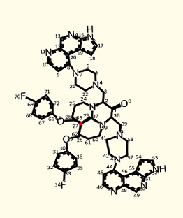 O=C(C(CN1CCN(c2ccnc3cnc4[nH]ccc4c23)CC1)N1CCCC(COc2ccc(F)cc2)C1)C(CN1CCN(c2ccnc3cnc4[nH]ccc4c23)CC1)N1CCCC(COc2ccc(F)cc2)C1